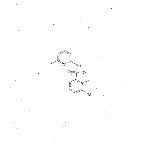 Cc1cccc(NS(=O)(=O)c2cccc(Cl)c2C)n1